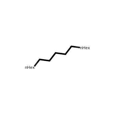 [CH2]CCCCCCCCC[CH]CCCCCC